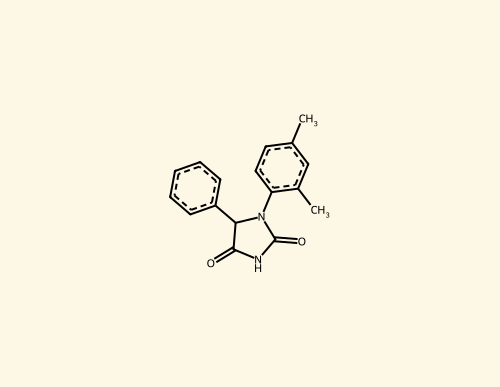 Cc1ccc(N2C(=O)NC(=O)C2c2ccccc2)c(C)c1